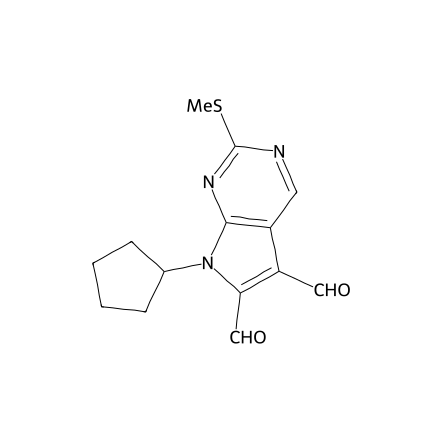 CSc1ncc2c(C=O)c(C=O)n(C3CCCC3)c2n1